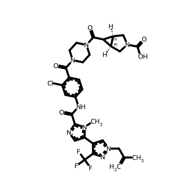 C=C(C)Cn1cc(-c2cnc(C(=O)Nc3ccc(C(=O)N4CCN(C(=O)C5[C@H]6CN(C(=O)O)C[C@@H]56)CC4)c(Cl)c3)n2C)c(C(F)(F)F)n1